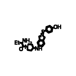 CCC(N)C(=O)N1CCC(Nc2ccc3c(c2)CN(Sc2ccc(O)cc2)C3)CC1